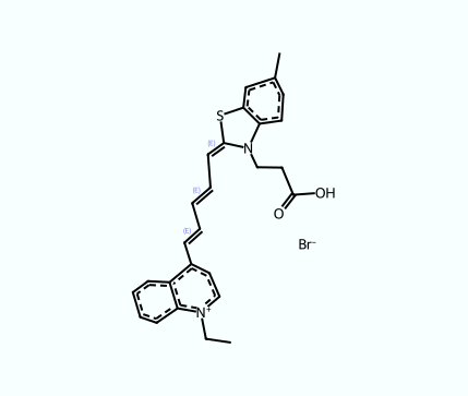 CC[n+]1ccc(/C=C/C=C/C=C2/Sc3cc(C)ccc3N2CCC(=O)O)c2ccccc21.[Br-]